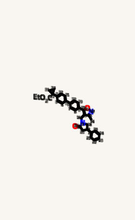 CCOC(=O)C1(c2ccc(-c3ccc(-c4onc(C)c4CN4CC(c5ccccc5)CC4=O)cc3)cc2)CC1